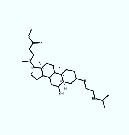 COC(=O)CC[C@H](C)[C@H]1CCC2C3CC(O)[C@@H]4CC(NCCNC(C)C)CC[C@]4(C)C3CC[C@@]21C